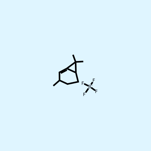 CC1C=C2C(CC1)C2(C)C.F[B-](F)(F)F